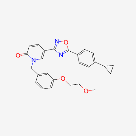 COCCOc1cccc(Cn2cc(-c3noc(-c4ccc(C5CC5)cc4)n3)ccc2=O)c1